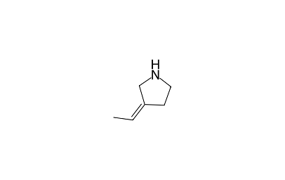 C/C=C1/CCNC1